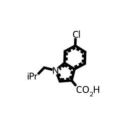 CC(C)Cn1cc(C(=O)O)c2ccc(Cl)cc21